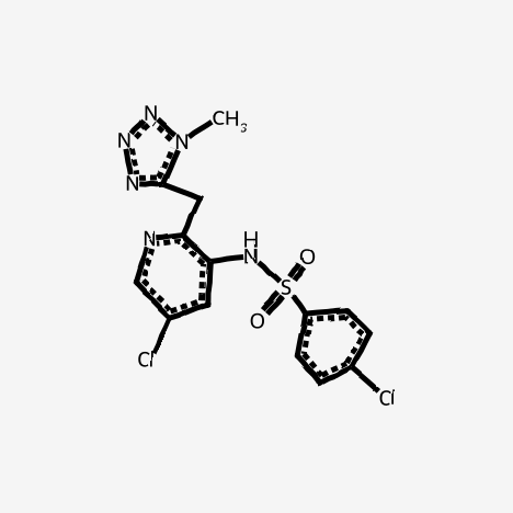 Cn1nnnc1Cc1ncc(Cl)cc1NS(=O)(=O)c1ccc(Cl)cc1